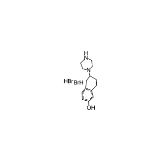 Br.Br.Oc1ccc2c(c1)CCC(N1CCNCC1)C2